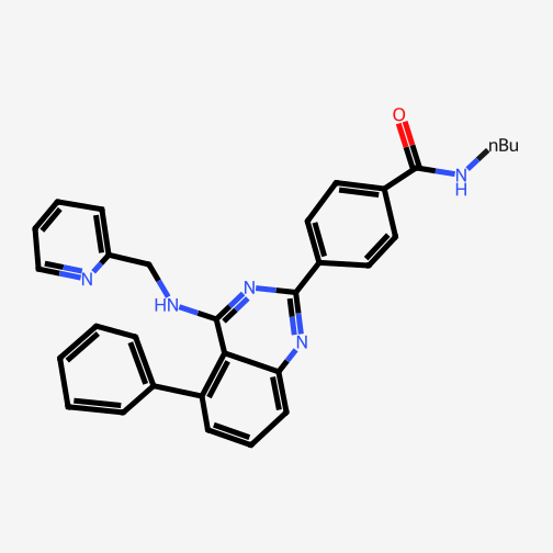 CCCCNC(=O)c1ccc(-c2nc(NCc3ccccn3)c3c(-c4ccccc4)cccc3n2)cc1